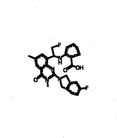 Cc1cc(C(CF)Nc2ccccc2C(=O)O)c2nc(N3Cc4ccc(F)cc4C3)n(C)c(=O)c2c1